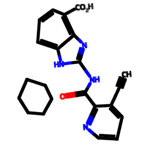 C#Cc1cccnc1C(=O)Nc1nc2c(C(=O)O)cccc2[nH]1.C1CCCCC1